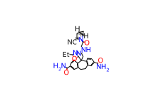 CCc1nnc(C2(CCNCC(=O)N3[C@H](C#N)C[C@@H]4C[C@@H]43)c3ccc(C(N)=O)cc3CCc3cc(C(N)=O)ccc32)o1